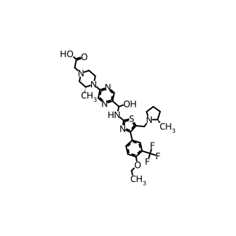 CCOc1ccc(-c2nc(NC(O)c3cnc(N4CCN(CC(=O)O)C[C@H]4C)cn3)sc2CN2CCC[C@H]2C)cc1C(F)(F)F